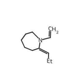 C=CN1CCCCCC1=CCC